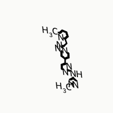 Cc1cccc(Cc2nnc3cc(-c4ccnc(Nc5cnn(C)c5)n4)ccn23)n1